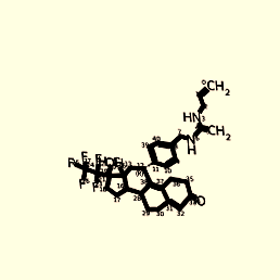 C=CCNC(=C)NCc1ccc([C@H]2CC3(C)C(CCC3(O)C(F)(F)C(F)(F)F)C3CCC4=CC(=O)CCC4=C32)cc1